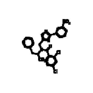 O=C(O)C(Cc1ccccc1)N(Cc1cnc(-c2cccc([N+](=O)[O-])c2)s1)C(=O)c1ccc(Cl)cc1Cl